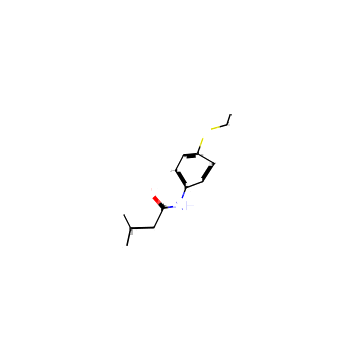 CCSc1ccc(NC(=O)CC(C)C)cc1